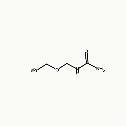 CCCCOCNC(N)=O